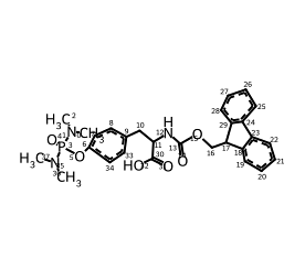 CN(C)P(=O)(Oc1ccc(CC(NC(=O)OCC2c3ccccc3-c3ccccc32)C(=O)O)cc1)N(C)C